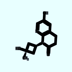 C[C@]1(O)C[C@@H](N2C(=O)CCc3cc(O)cnc32)C1